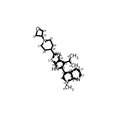 CC(C)c1c(-c2cn(C)c3ncccc23)[nH]c2sc(C3CCN(C4COC4)CC3)nc12